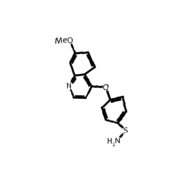 COc1ccc2c(Oc3ccc(SN)cc3)ccnc2c1